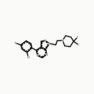 Fc1ccc(-c2ncnc3c2cnn3CCN2CCC(F)(F)CC2)c(Cl)c1